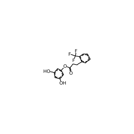 O=C(CCc1ccccc1C(F)(F)F)Oc1cc(O)cc(O)c1